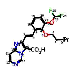 CC(C)CCOc1c(C=Cc2nc3ccncn3c2C(=O)O)cccc1OC(F)F